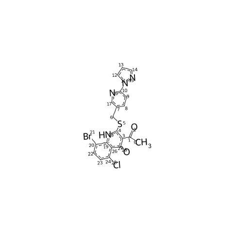 CC(=O)c1c(SCc2ccc(-n3cccn3)nc2)[nH]c2c(Br)ccc(Cl)c2c1=O